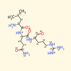 CC(C)CC(N)C(=O)NC(CCC(N)=O)C(=O)NC([C]=O)CCCNC(=N)N